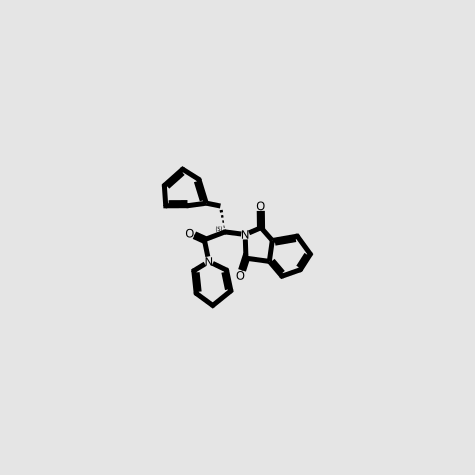 O=C([C@H](Cc1ccccc1)N1C(=O)c2ccccc2C1=O)N1C=CCC=C1